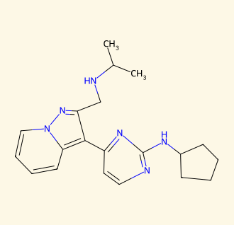 CC(C)NCc1nn2ccccc2c1-c1ccnc(NC2CCCC2)n1